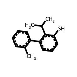 Cc1ccccc1-c1cccc(S)c1C(C)C